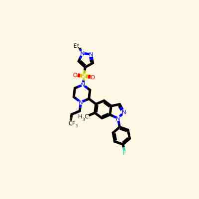 CCn1cc(S(=O)(=O)N2CCN(CCC(F)(F)F)C(c3cc4cnn(-c5ccc(F)cc5)c4cc3C)C2)cn1